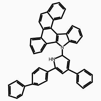 C1=C(c2ccccc2)C=C(c2ccc(-c3ccccc3)cc2)NC1n1c2ccccc2c2c3c4ccccc4ccc3c3ccccc3c21